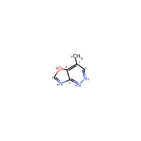 Cc1cnnc2ncoc12